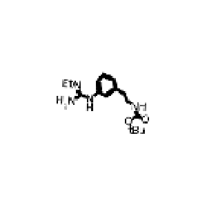 CCN=C(N)Nc1cccc(CCNC(=O)OC(C)(C)C)c1